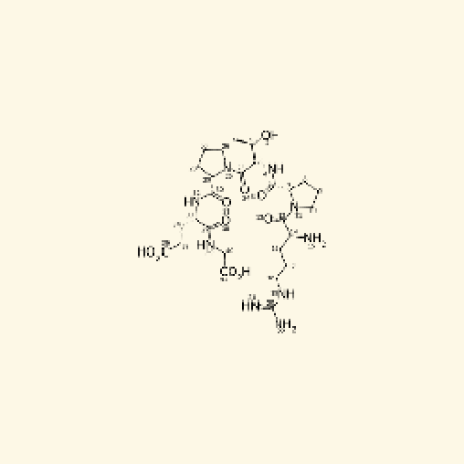 C[C@@H](O)[C@H](NC(=O)[C@@H]1CCCN1C(=O)[C@@H](N)CCCNC(=N)N)C(=O)N1CCC[C@H]1C(=O)N[C@@H](CCC(=O)O)C(=O)NCC(=O)O